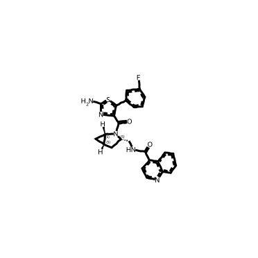 Nc1nc(C(=O)N2[C@H](CNC(=O)c3ccnc4ccccc34)C[C@@H]3C[C@@H]32)c(-c2cccc(F)c2)s1